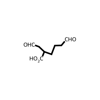 O=CCCCC(CC=O)C(=O)O